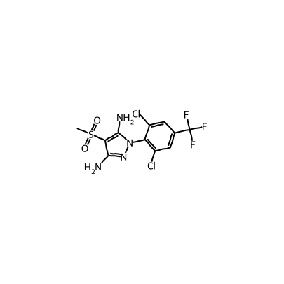 CS(=O)(=O)c1c(N)nn(-c2c(Cl)cc(C(F)(F)F)cc2Cl)c1N